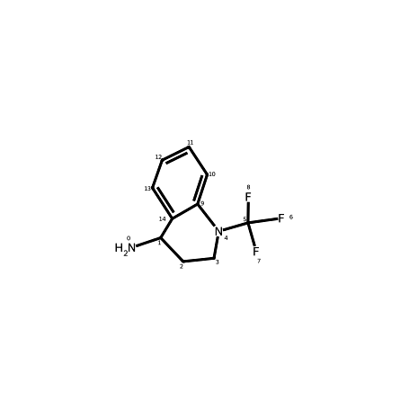 NC1CCN(C(F)(F)F)c2ccccc21